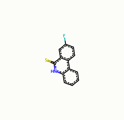 Fc1ccc2c(c1)c(=S)[nH]c1ccccc12